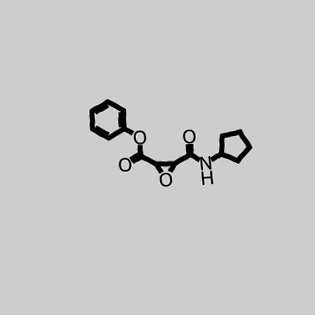 O=C(NC1CCCC1)C1OC1C(=O)Oc1ccccc1